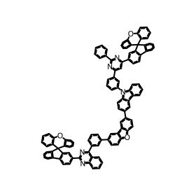 c1ccc(-c2nc(-c3cccc(-n4c5ccccc5c5cc(-c6ccc7oc8ccc(-c9cccc(-c%10nc(-c%11ccc%12c(c%11)C%11(c%13ccccc%13Oc%13ccccc%13%11)c%11ccccc%11-%12)nc%11ccccc%10%11)c9)cc8c7c6)ccc54)c3)cc(-c3ccc4c(c3)C3(c5ccccc5Oc5ccccc53)c3ccccc3-4)n2)cc1